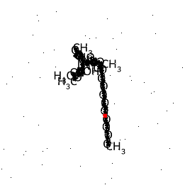 COCCOCCOCCOCCOCCOCCOCCOCCOCCOC(=O)C(C)Oc1ccc(-c2nc(-c3ccc(OC)cc3)nc(-c3ccc(OC(C)C(C)=O)cc3O)n2)c(O)c1